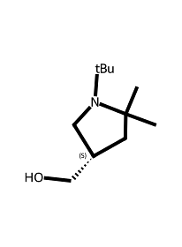 CC(C)(C)N1C[C@@H](CO)CC1(C)C